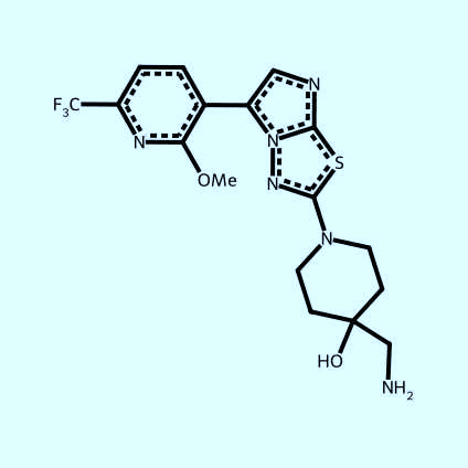 COc1nc(C(F)(F)F)ccc1-c1cnc2sc(N3CCC(O)(CN)CC3)nn12